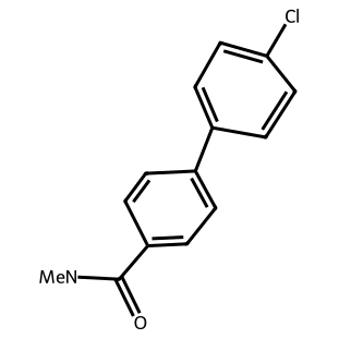 CNC(=O)c1ccc(-c2ccc(Cl)cc2)cc1